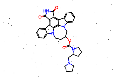 O=C1NC(=O)c2c1c1c3ccccc3n3c1c1c2c2ccccc2n1CC(OC(=O)N1CCCC1CN1CCCC1)CC3